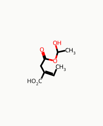 CC=C(CC(=O)OC(C)O)C(=O)O